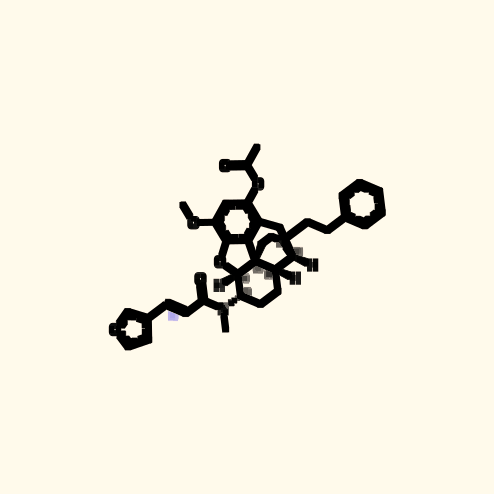 COc1cc(OC(C)=O)c2c3c1O[C@H]1[C@@H](N(C)C(=O)/C=C/c4ccoc4)CC[C@H]4[C@@H](C2)N(CCc2ccccc2)CC[C@@]341